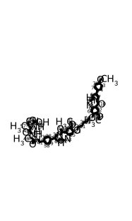 COc1ccc(C2=CN3C(=O)c4cc(OC)c(OCCCCCOc5cc6c(cc5OC)C(=O)N5C=C(c7ccc(CNC(=O)C(C)NC(=O)C(NC(=O)O)C(C)C)cc7)C[C@H]5C=N6)cc4N=C[C@@H]3C2)cc1